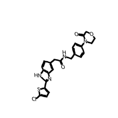 O=C(Cc1ccc2[nH]c(-c3ccc(Cl)s3)nc2c1)NCc1ccc(N2CCOCC2=O)cc1